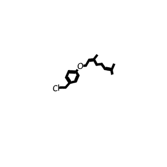 CC(C)=CCCC(C)=CCOc1ccc(CCl)cc1